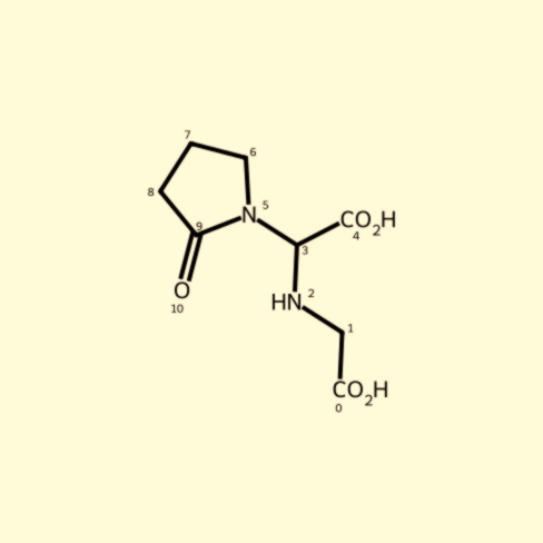 O=C(O)CNC(C(=O)O)N1CCCC1=O